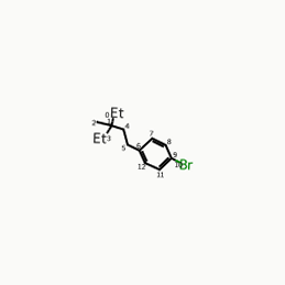 CCC(C)(CC)CCc1ccc(Br)cc1